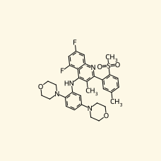 Cc1ccc(S(C)(=O)=O)c(-c2nc3cc(F)cc(F)c3c(Nc3cc(N4CCOCC4)ccc3N3CCOCC3)c2C)c1